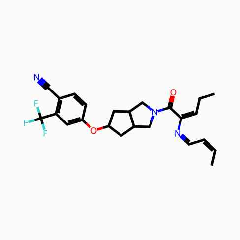 C\C=C/C=N\C(=C\CC)C(=O)N1CC2CC(Oc3ccc(C#N)c(C(F)(F)F)c3)CC2C1